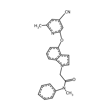 Cc1cc(C#N)cc(Oc2cccc3c2ccn3CC(=O)N(C)c2ccccc2)n1